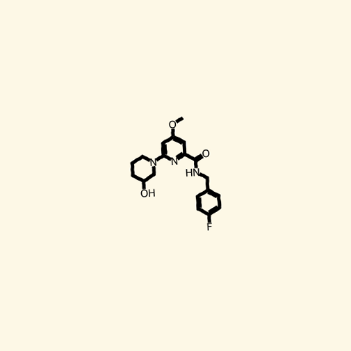 COc1cc(C(=O)NCc2ccc(F)cc2)nc(N2CCCC(O)C2)c1